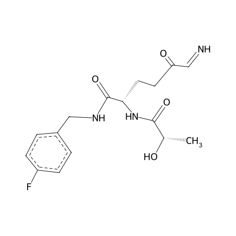 C[C@H](O)C(=O)N[C@@H](CCC(=O)C=N)C(=O)NCc1ccc(F)cc1